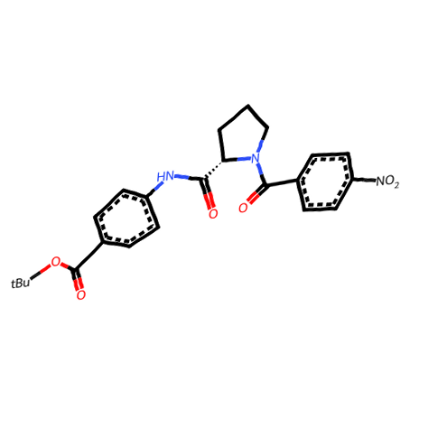 CC(C)(C)OC(=O)c1ccc(NC(=O)[C@@H]2CCCN2C(=O)c2ccc([N+](=O)[O-])cc2)cc1